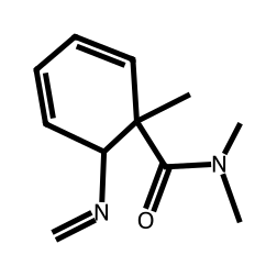 C=NC1C=CC=CC1(C)C(=O)N(C)C